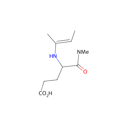 CC=C(C)NC(CCC(=O)O)C(=O)NC